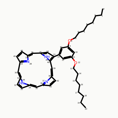 CCCCCCCCOc1cc(OCCCCCCCC)cc(-c2cc3cc4nc(cc5ccc(cc6nc(cc2[nH]3)C=C6)[nH]5)C=C4)c1